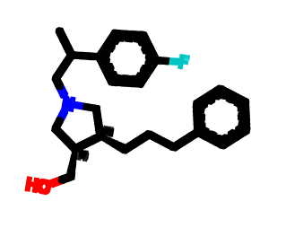 CC(CN1C[C@@H](CCCc2ccccc2)[C@@H](CO)C1)c1ccc(F)cc1